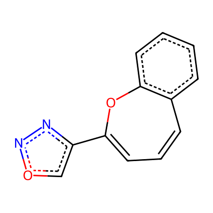 C1=Cc2ccccc2OC(c2conn2)=C1